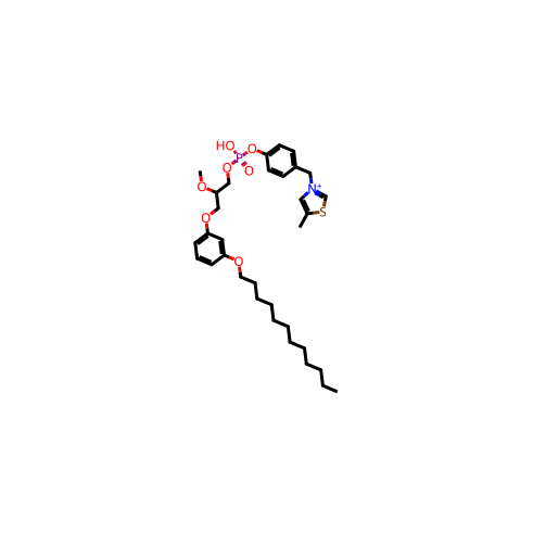 CCCCCCCCCCCCOc1cccc(OCC(COP(=O)(O)Oc2ccc(C[n+]3csc(C)c3)cc2)OC)c1